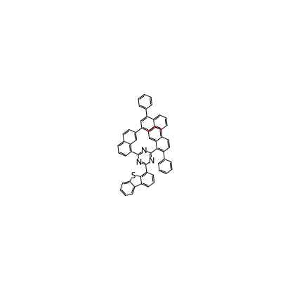 c1ccc(-c2ccc3ccccc3c2-c2nc(-c3cccc4ccc(-c5cc(-c6ccccc6)c6ccccc6c5)cc34)nc(-c3cccc4c3sc3ccccc34)n2)cc1